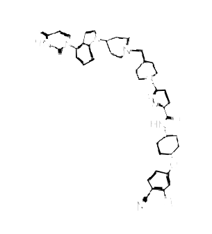 N#Cc1ccc(O[C@H]2CC[C@H](NC(=O)c3ccc(N4CCC(CN5CCC(n6ccc7c(-n8ccc(=O)[nH]c8=O)cccc76)CC5)CC4)nn3)CC2)cc1Cl